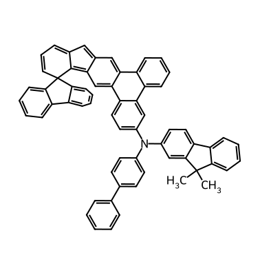 CC1(C)c2ccccc2-c2ccc(N(c3ccc(-c4ccccc4)cc3)c3ccc4c(c3)c3ccccc3c3cc5c(cc43)=C3C(=CC=CC34c3ccccc3-c3ccccc34)C=5)cc21